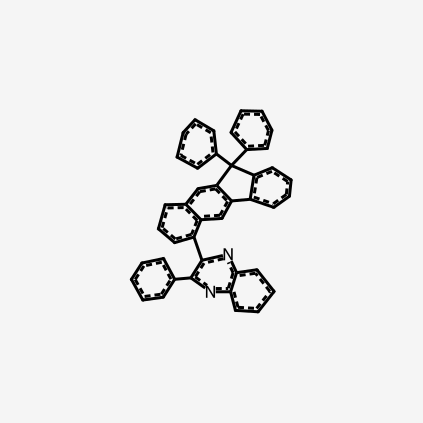 c1ccc(-c2nc3ccccc3nc2-c2cccc3cc4c(cc23)-c2ccccc2C4(c2ccccc2)c2ccccc2)cc1